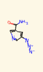 [N-]=[N+]=Nc1cncc(C(N)=O)c1